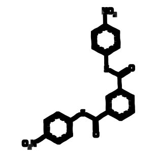 O=C(Sc1ccc([N+](=O)[O-])cc1)c1cccc(C(=O)Sc2ccc([N+](=O)[O-])cc2)c1